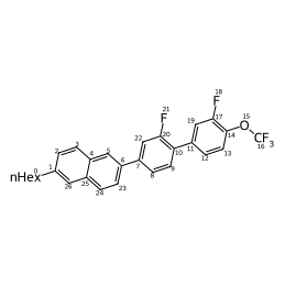 CCCCCCc1ccc2cc(-c3ccc(-c4ccc(OC(F)(F)F)c(F)c4)c(F)c3)ccc2c1